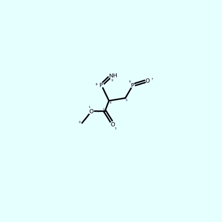 COC(=O)C(CP=O)P=N